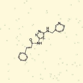 O=C(C=Cc1ccccc1)Nc1nnc(NCc2cccnc2)s1